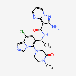 CC(NC(=O)c1c(N)nn2cccnc12)c1cc(Cl)c2cncn2c1N1CCN(C)C(=O)C1